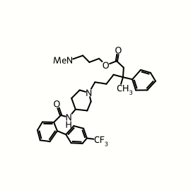 CNCCCOC(=O)CC(C)(CCCN1CCC(NC(=O)c2ccccc2-c2ccc(C(F)(F)F)cc2)CC1)c1ccccc1